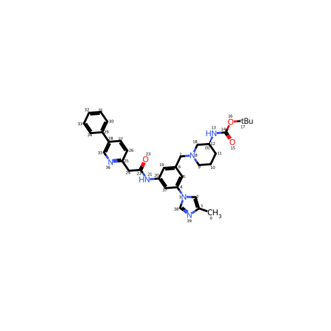 Cc1cn(-c2cc(CN3CCC[C@H](NC(=O)OC(C)(C)C)C3)cc(NC(=O)Cc3ccc(-c4ccccc4)cn3)c2)cn1